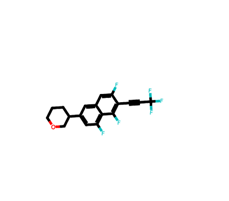 Fc1cc2cc(C3CCCOC3)cc(F)c2c(F)c1C#CC(F)(F)F